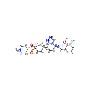 COc1c(F)cccc1CNc1ccc(-c2ccc(S(=O)(=O)C3CCN(C)CC3)cc2)c2nncn12